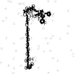 CC(C)C(NC(=O)CCOCCOCCOCCOCCOCCOCCOCCOCCNC(=O)CCN1C(=O)C=CC1=O)C(=O)N[C@@H](C)C(=O)NCCCN(C(=O)CO)[C@@H](c1cc(-c2cc(F)ccc2F)cn1Cc1ccccc1)C(C)(C)C